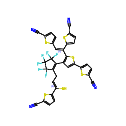 N#Cc1ccc(/C=C(\c2ccc(C#N)s2)c2sc(-c3ccc(C#N)s3)cc2C2=C(C/C=C(\S)c3ccc(C#N)s3)C(F)(F)C(F)(F)C2(F)F)s1